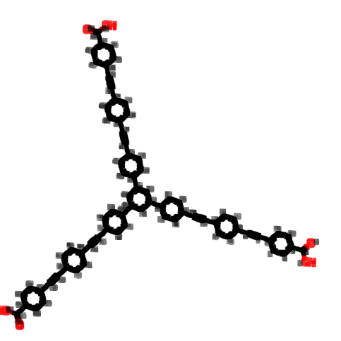 O=C(O)c1ccc(C#Cc2ccc(C#Cc3ccc(-c4cc(-c5ccc(C#Cc6ccc(C#Cc7ccc(C(=O)O)cc7)cc6)cc5)cc(-c5ccc(C#Cc6ccc(C#Cc7ccc(C(=O)O)cc7)cc6)cc5)c4)cc3)cc2)cc1